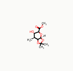 COC(=O)C1O[C@H]2OC(C)(C)OC2[C@@H](C)[C@@H]1O